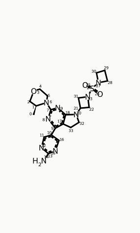 C[C@H]1COCCN1c1nc(-c2cnc(N)nc2)c2c(n1)N(C1CN(S(=O)(=O)N3CCC3)C1)CC2